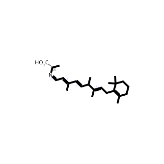 CC1=C(C/C=C(\C)C(C)/C=C/C(C)=C/C=N\[C@@H](C)C(=O)O)C(C)(C)CCC1